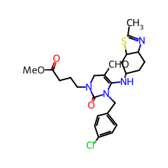 COC(=O)CCCN1CC(C=O)=C(NC2CCC3N=C(C)SC3C2)N(Cc2ccc(Cl)cc2)C1=O